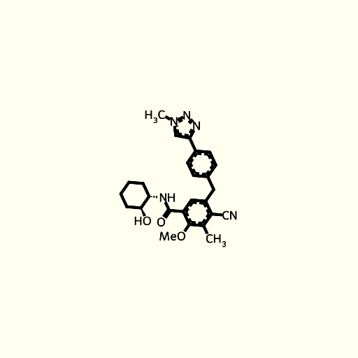 COc1c(C(=O)N[C@H]2CCCC[C@@H]2O)cc(Cc2ccc(-c3cn(C)nn3)cc2)c(C#N)c1C